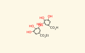 CCOC(=O)c1cc(O)c(O)c(O)c1.O=C(O)c1cc(O)c(O)c(O)c1